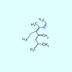 C=C(CC(C)C)/C(CC)=C(C)\N=C/C